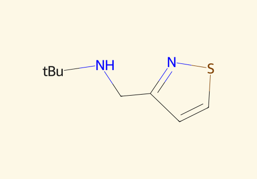 CC(C)(C)NCc1ccsn1